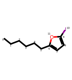 CCCCCCc1ccc(I)o1